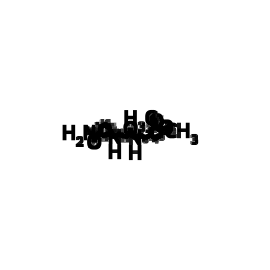 COc1ccc(CCNC(=O)CCNc2cccc(C(N)=O)c2)cc1OC